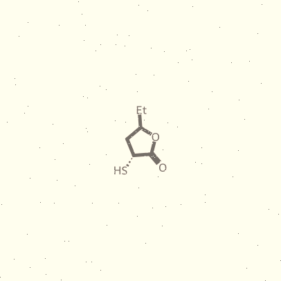 CCC1C[C@@H](S)C(=O)O1